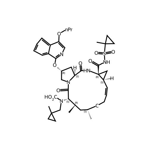 CCCOc1cnc(O[C@@H]2C[C@H]3C(=O)N[C@]4(C(=O)NS(=O)(=O)C5(C)CC5)C[C@H]4C=CCC[C@H](C)C[C@@H](C)[C@H](N(CC4(C)CC4)C(=O)O)C(=O)N3C2)c2ccccc12